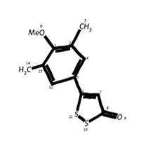 COc1c(C)cc(-c2cc(=O)ss2)cc1C